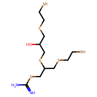 N=C(N)SCC(CSCCS)SCC(O)CSCCS